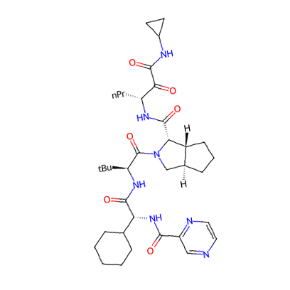 CCC[C@@H](NC(=O)[C@@H]1[C@@H]2CCC[C@H]2CN1C(=O)[C@@H](NC(=O)[C@H](NC(=O)c1cnccn1)C1CCCCC1)C(C)(C)C)C(=O)C(=O)NC1CC1